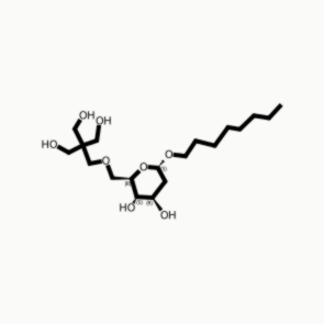 CCCCCCCCO[C@@H]1C[C@@H](O)[C@H](O)[C@@H](COCC(CO)(CO)CO)O1